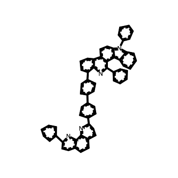 c1ccc(-c2ccc3ccc4ccc(-c5ccc(-c6ccc(-c7cccc8c7nc(-c7ccccc7)c7c8ccc8c7c7ccccc7n8-c7ccccc7)cc6)cc5)nc4c3n2)cc1